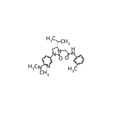 Cc1cccc(NC(=O)CN2C(=O)N(c3ccc(N(C)C)nc3)C[C@@H]2C(C)C)c1